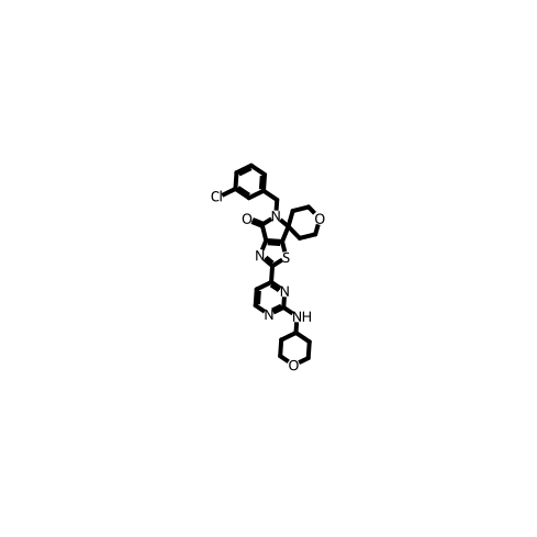 O=C1c2nc(-c3ccnc(NC4CCOCC4)n3)sc2C2(CCOCC2)N1Cc1cccc(Cl)c1